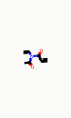 C=CC(=O)N(C=C)C(C)=O